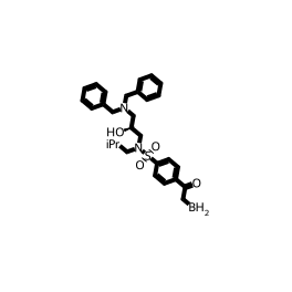 BCC(=O)c1ccc(S(=O)(=O)N(CC(C)C)C[C@@H](O)CN(Cc2ccccc2)Cc2ccccc2)cc1